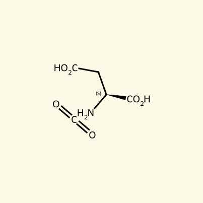 N[C@@H](CC(=O)O)C(=O)O.O=C=O